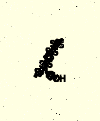 Cc1cc2sc3c(sc4c5cc6sc7c(sc8c9sc(C)cc9n(-c9ccc(O)cc9)c78)c6cc5sc43)c2s1